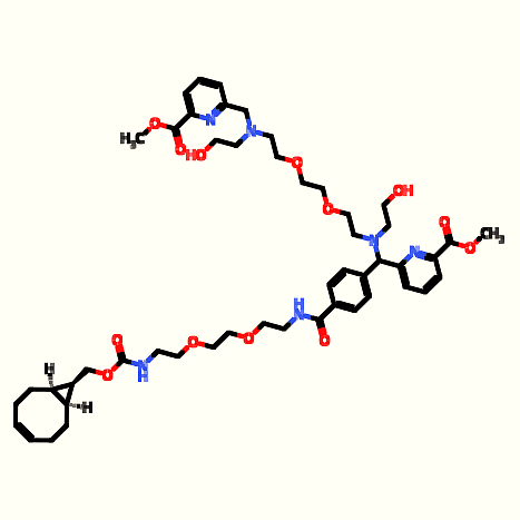 COC(=O)c1cccc(CN(CCO)CCOCCOCCN(CCO)C(c2ccc(C(=O)NCCOCCOCCNC(=O)OC[C@@H]3[C@@H]4CC/C=C\CC[C@@H]43)cc2)c2cccc(C(=O)OC)n2)n1